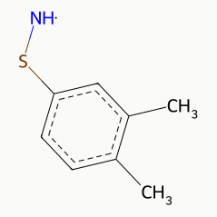 Cc1ccc(S[NH])cc1C